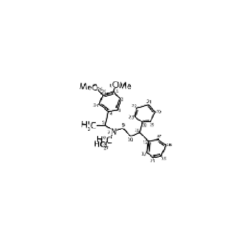 COc1ccc(C(C)N(C)CCC(c2ccccc2)c2ccccc2)cc1OC.Cl